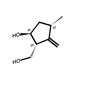 C=C1[C@@H](C)C[C@H](O)[C@H]1CO